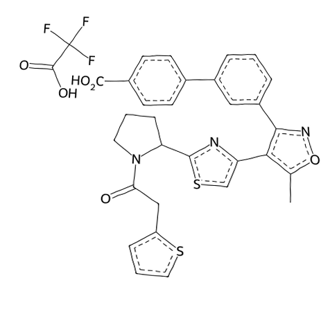 Cc1onc(-c2cccc(-c3ccc(C(=O)O)cc3)c2)c1-c1csc(C2CCCN2C(=O)Cc2cccs2)n1.O=C(O)C(F)(F)F